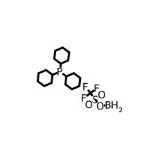 BOS(=O)(=O)C(F)(F)F.C1CCC(P(C2CCCCC2)C2CCCCC2)CC1